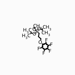 CO[Si](CCCOc1c(F)c(F)c(F)c(F)c1F)(OC(C)C)OC(C)C